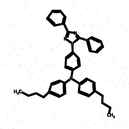 CCCCc1ccc(N(c2ccc(CCCC)cc2)c2ccc(-n3nc(-c4ccccc4)nc3-c3ccccc3)cc2)cc1